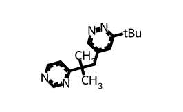 CC(C)(C)c1cc(CC(C)(C)c2ccncn2)cnn1